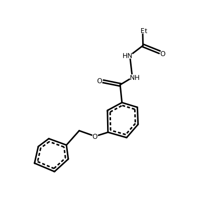 CCC(=O)NNC(=O)c1cccc(OCc2ccccc2)c1